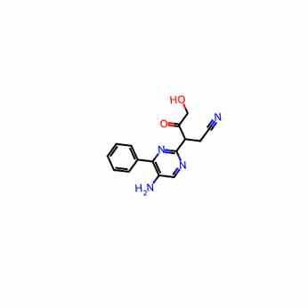 N#CCC(C(=O)CO)c1ncc(N)c(-c2ccccc2)n1